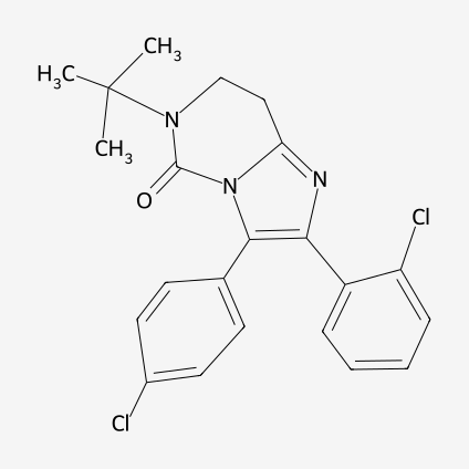 CC(C)(C)N1CCc2nc(-c3ccccc3Cl)c(-c3ccc(Cl)cc3)n2C1=O